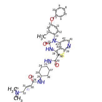 Cc1cc(Oc2ccccc2)ccc1N1C(=O)Nc2c(C(=O)N[C@H]3CC[C@H](NC(=O)/C=C/CN(C)C)CC3)sc3nccc1c23